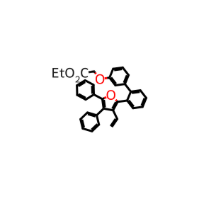 C=Cc1c(-c2ccccc2-c2cccc(OCC(=O)OCC)c2)oc(-c2ccccc2)c1-c1ccccc1